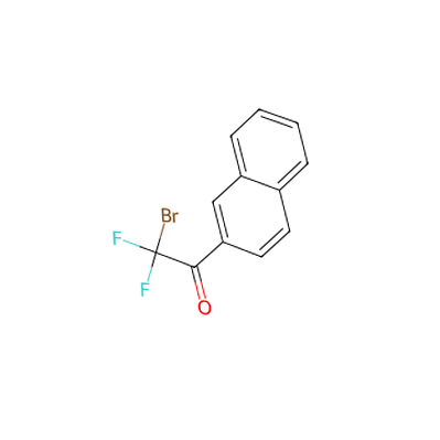 O=C(c1ccc2ccccc2c1)C(F)(F)Br